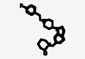 O=C1CCCCN1Cc1ccc2ccn(C3CCN(CCc4ccc(F)cc4)CC3)c2c1